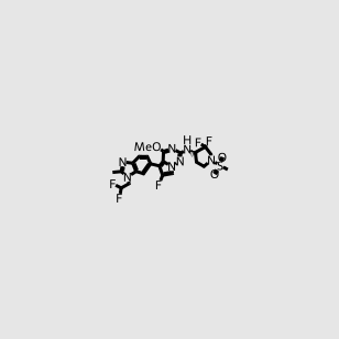 COc1nc(N[C@@H]2CCN(S(C)(=O)=O)CC2(F)F)nn2cc(F)c(-c3ccc4nc(C)n(CC(F)F)c4c3)c12